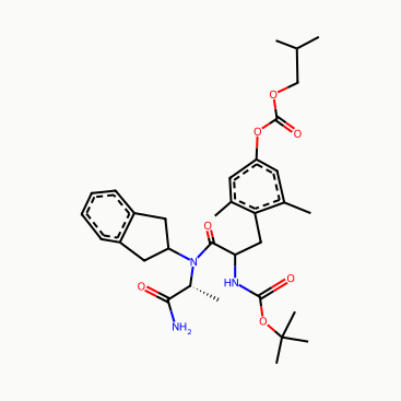 Cc1cc(OC(=O)OCC(C)C)cc(C)c1CC(NC(=O)OC(C)(C)C)C(=O)N(C1Cc2ccccc2C1)[C@H](C)C(N)=O